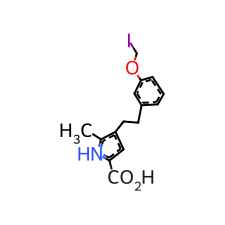 Cc1[nH]c(C(=O)O)cc1CCc1cccc(OCI)c1